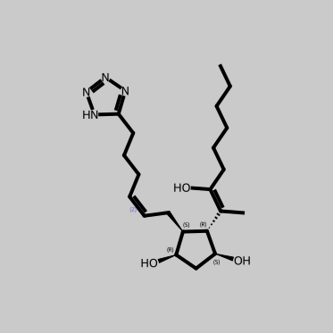 CCCCCCC(O)=C(C)[C@H]1[C@H](C/C=C\CCCc2nnn[nH]2)[C@H](O)C[C@@H]1O